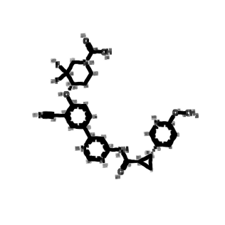 COc1ccc([C@@H]2C[C@H]2C(=O)Nc2cc(-c3ccc(O[C@H]4CCN(C(=O)O)CC4(F)F)c(C#N)c3)ncn2)cn1